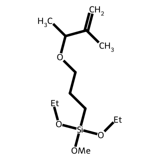 C=C(C)C(C)OCCC[Si](OC)(OCC)OCC